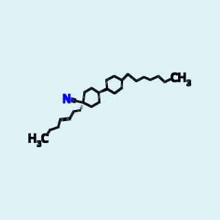 CCC/C=C/CC[C@]1(C#N)CC[C@@H](C2CCC(CCCCCCC)CC2)CC1